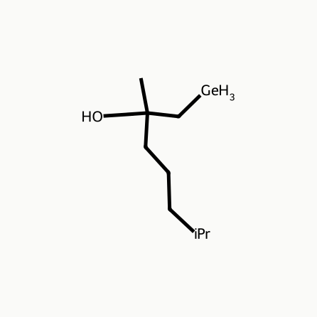 CC(C)CCCC(C)(O)[CH2][GeH3]